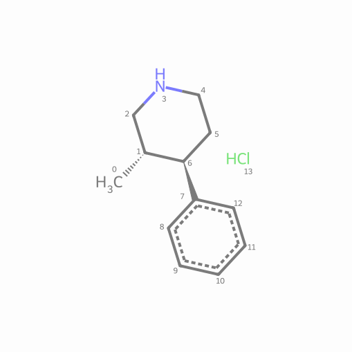 C[C@@H]1CNCC[C@H]1c1ccccc1.Cl